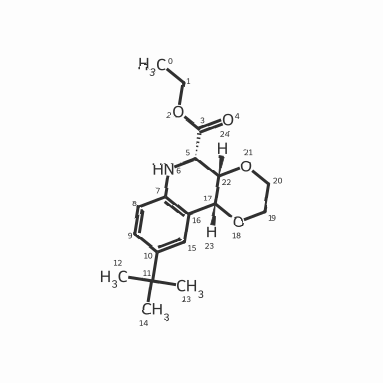 CCOC(=O)[C@H]1Nc2ccc(C(C)(C)C)cc2[C@H]2OCCO[C@@H]12